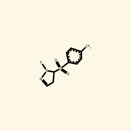 O=S(=O)(c1ccc(C(F)(F)F)cc1)C1CC=NN1F